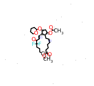 CCCCC(F)(F)C(=O)/C=C/[C@@H]1C(C/C=C\CCCC(=O)OC)[C@@H](OC(C)=O)C[C@H]1OC1CCCCO1